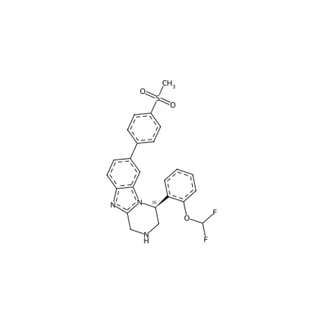 CS(=O)(=O)c1ccc(-c2ccc3nc4n(c3c2)[C@@H](c2ccccc2OC(F)F)CNC4)cc1